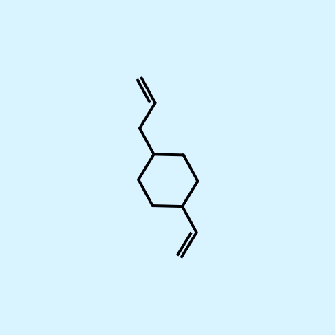 C=CCC1CCC(C=C)CC1